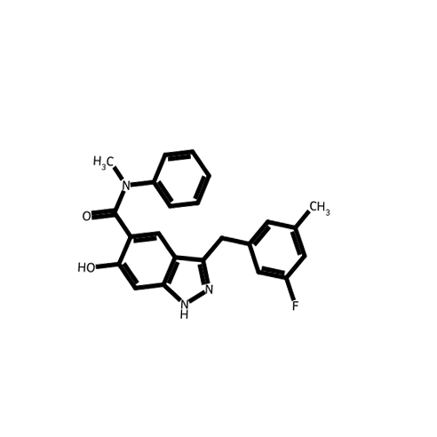 Cc1cc(F)cc(Cc2n[nH]c3cc(O)c(C(=O)N(C)c4ccccc4)cc23)c1